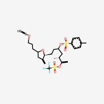 B=BOCCCC1CC(=C)[C@H](CCC(C[C@@H](C)C(=C)OS(=O)(=O)C(F)(F)F)OS(=O)(=O)c2ccc(C)cc2)O1